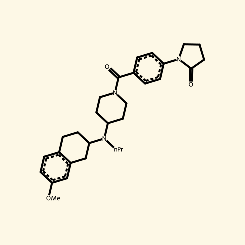 CCCN(C1CCN(C(=O)c2ccc(N3CCCC3=O)cc2)CC1)C1CCc2ccc(OC)cc2C1